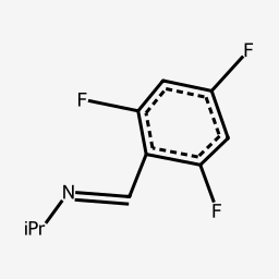 CC(C)/N=C/c1c(F)cc(F)cc1F